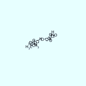 CC(C)c1ncccc1-n1cnc2ccc(CN3CCC(c4ccc5c(c4)CN(C4CCC(=O)NC4=O)C5=O)CC3)cc2c1=O